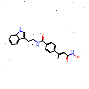 C/C(=C\C(=O)NO)c1ccc(C(=O)NCCc2c[nH]c3ccccc23)cc1